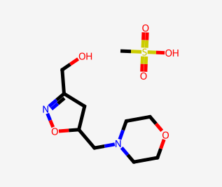 CS(=O)(=O)O.OCC1=NOC(CN2CCOCC2)C1